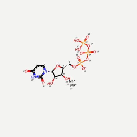 O=c1ccn([C@@H]2O[C@H](COP(=O)([O-])OP(=O)([O-])OP(=O)(O)O)[C@@H](O)[C@H]2O)c(=O)[nH]1.[Na+].[Na+]